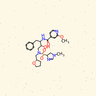 COc1cc(C(=O)NC(Cc2ccccc2)C(O)CN(CC2CCCO2)S(=O)(=O)C2CN(C)C=N2)ccn1